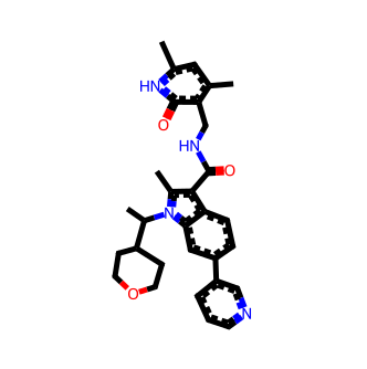 Cc1cc(C)c(CNC(=O)c2c(C)n(C(C)C3CCOCC3)c3cc(-c4cccnc4)ccc23)c(=O)[nH]1